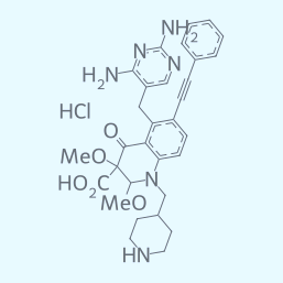 COC1N(CC2CCNCC2)c2ccc(C#Cc3ccccc3)c(Cc3cnc(N)nc3N)c2C(=O)C1(OC)C(=O)O.Cl